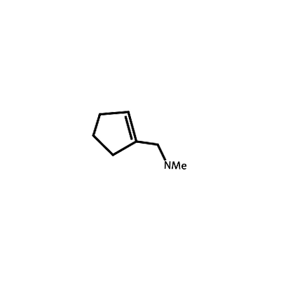 [CH2]NCC1=CCCC1